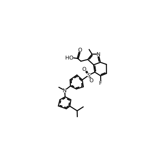 CC1=C(CC(=O)O)C2=C(S(=O)(=O)c3ccc(N(C)c4cccc(C(C)C)c4)cc3)C(F)=CCC2=N1